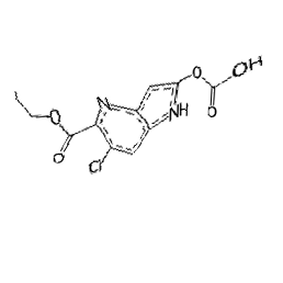 CCOC(=O)c1nc2cc(OC(=O)O)[nH]c2cc1Cl